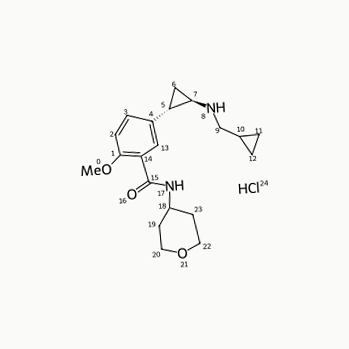 COc1ccc([C@@H]2C[C@H]2NCC2CC2)cc1C(=O)NC1CCOCC1.Cl